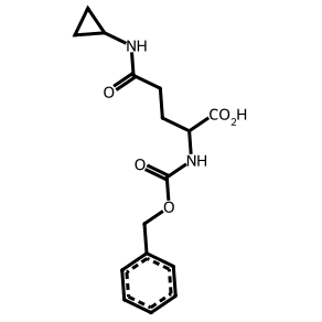 O=C(CCC(NC(=O)OCc1ccccc1)C(=O)O)NC1CC1